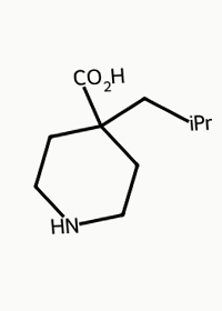 CC(C)CC1(C(=O)O)CCNCC1